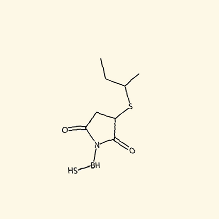 CCC(C)SC1CC(=O)N(BS)C1=O